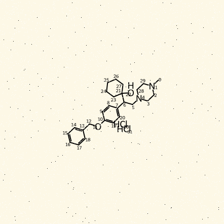 CN1CCN(CC(c2ccc(OCc3ccccc3)cc2)C2(O)CCCCC2)CC1.Cl.Cl